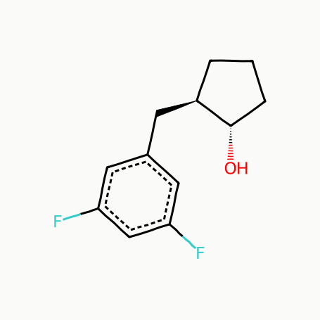 O[C@H]1CCC[C@@H]1Cc1cc(F)cc(F)c1